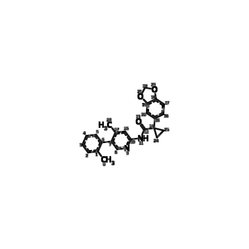 Cc1ccccc1-c1cnc(NC(=O)C2(c3ccc4c(c3)OCO4)CC2)cc1C